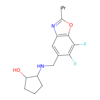 CC(C)c1nc2cc(CNC3CCCC3O)c(F)c(F)c2o1